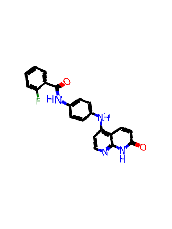 O=C(Nc1ccc(Nc2ccnc3[nH]c(=O)ccc23)cc1)c1ccccc1F